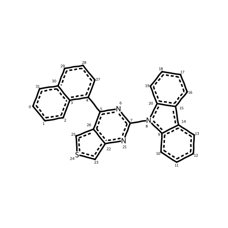 c1ccc2c(-c3nc(-n4c5ccccc5c5ccccc54)nc4cscc34)cccc2c1